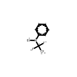 CCN(c1ccccc1)C(F)(F)C(F)(F)F